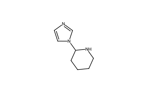 c1cn(C2CCCCN2)cn1